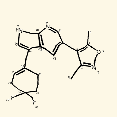 Cc1noc(C)c1-c1cnc2[nH]cc(C3=CCC(F)(F)CC3)c2c1